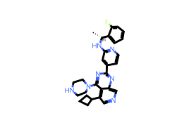 C[C@@H](Nc1cc(-c2nc(N3CCNCC3)c3c(C4CCC4)cncc3n2)ccn1)c1ccccc1F